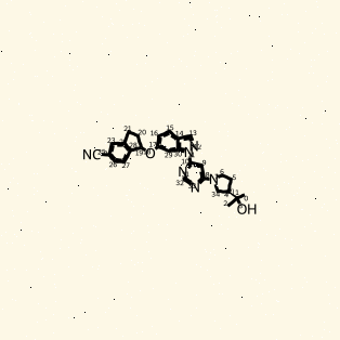 CC(C)(O)[C@@H]1CCN(c2cc(-n3ncc4ccc(OC5CCc6cc(C#N)ccc65)cc43)ncn2)C1